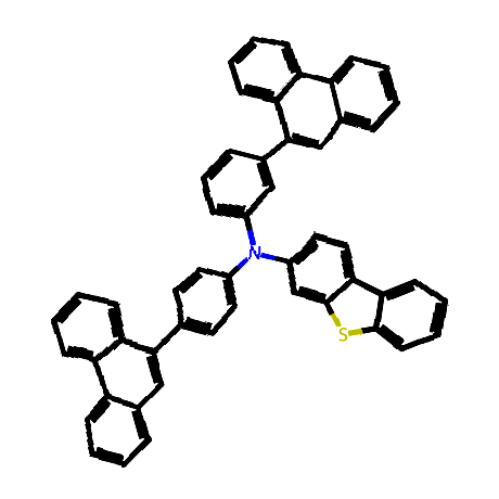 c1cc(-c2cc3ccccc3c3ccccc23)cc(N(c2ccc(-c3cc4ccccc4c4ccccc34)cc2)c2ccc3c(c2)sc2ccccc23)c1